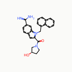 N=C(N)c1ccc2cc(C(=O)N3CC[C@@H](O)C3)n(Cc3cccc4ccccc34)c2c1